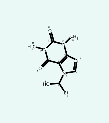 CCC(O)n1cnc2c1c(=O)n(C)c(=O)n2C